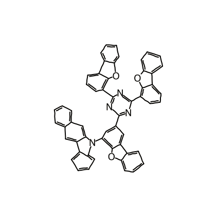 c1ccc2cc3c(cc2c1)c1ccccc1n3-c1cc(-c2nc(-c3cccc4c3oc3ccccc34)nc(-c3cccc4c3oc3ccccc34)n2)cc2c1oc1ccccc12